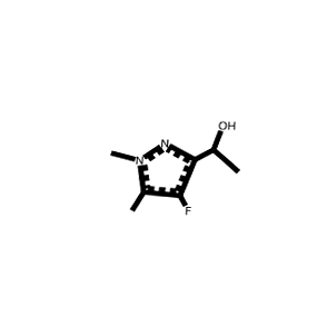 Cc1c(F)c(C(C)O)nn1C